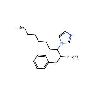 CCCCCCCCCCCCCCCC(C(CCCCCCC)Cc1ccccc1)n1ccnc1